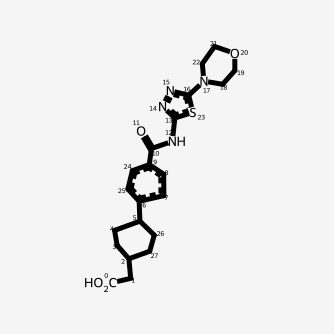 O=C(O)CC1CCC(c2ccc(C(=O)Nc3nnc(N4CCOCC4)s3)cc2)CC1